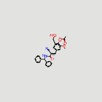 COc1cc(/C=C(\C#N)C(=O)NC(c2ccccc2)c2ccccc2)cc(CO)c1OC(C)=O